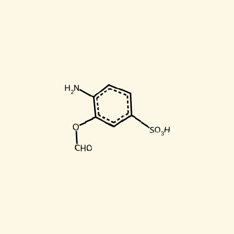 Nc1ccc(S(=O)(=O)O)cc1OC=O